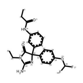 CCC(=O)Nc1cccc(C2(c3ccc(OC(F)F)cc3)N=C(N)N(CC)C2=O)c1